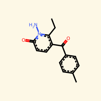 CCc1c(C(=O)c2ccc(C)cc2)ccc(=O)n1N